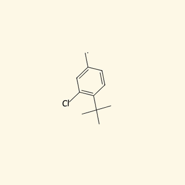 [CH2]c1ccc(C(C)(C)C)c(Cl)c1